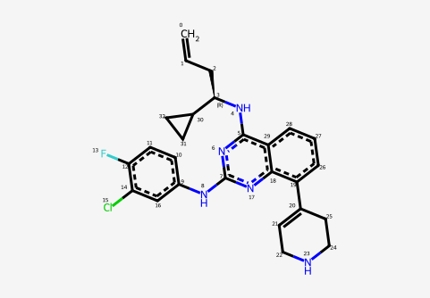 C=CC[C@@H](Nc1nc(Nc2ccc(F)c(Cl)c2)nc2c(C3=CCNCC3)cccc12)C1CC1